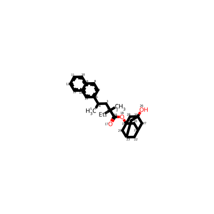 CCC(C)(CC(C)c1ccc2ccccc2c1)C(=O)OC12CC3CC(CC(O)(C3)C1)C2